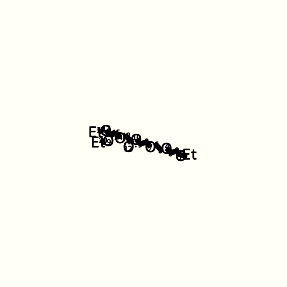 CCOCCOCCOCCOC([O])COCC(OCC)OCC